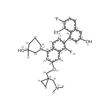 CCc1c(F)ccc2cc(O)cc(-c3ncc4c(N5CCCC(C)(O)C5)nc(OCC5(CN(C)C)CC5)nc4c3F)c12